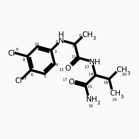 CC(Nc1ccc(Cl)c(Cl)c1)C(=O)NC(C(N)=O)C(C)C